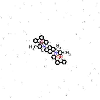 Cc1ccc(N(c2cccc(-c3cccc(-c4ccccc4C(C)C)c3)c2O)c2ccc3ccc4c(N(c5ccc(C)cc5C)c5cccc6c5oc5c(-c7ccccc7C(C)C)cccc56)ccc5ccc2c3c54)c(C)c1